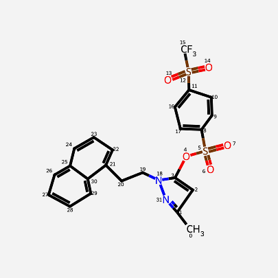 Cc1cc(OS(=O)(=O)c2ccc(S(=O)(=O)C(F)(F)F)cc2)n(CCc2cccc3ccccc23)n1